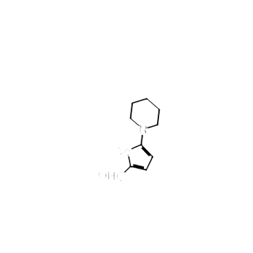 O=Cc1ccc(N2CCCCC2)[se]1